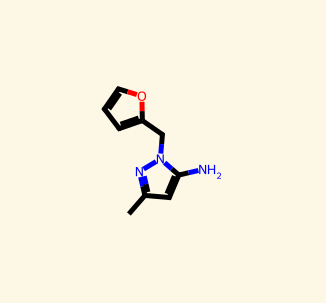 Cc1cc(N)n(Cc2ccco2)n1